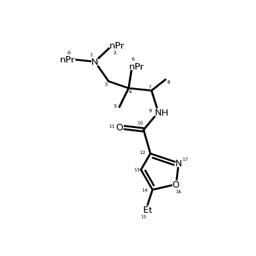 CCCN(CCC)CC(C)(CCC)C(C)NC(=O)c1cc(CC)on1